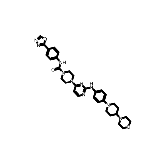 O=C(Nc1ccc(-c2nnco2)cc1)N1CCN(c2ccnc(Nc3ccc(N4CCC(N5CCOCC5)CC4)cc3)n2)CC1